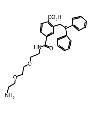 NCCOCCOCCNC(=O)c1ccc(C(=O)O)c(CP(c2ccccc2)c2ccccc2)c1